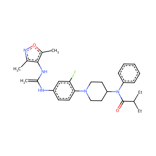 C=C(Nc1ccc(N2CCC(N(C(=O)C(CC)CC)c3ccccc3)CC2)c(F)c1)Nc1c(C)noc1C